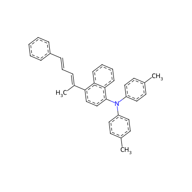 CC(=CC=Cc1ccccc1)c1ccc(N(c2ccc(C)cc2)c2ccc(C)cc2)c2ccccc12